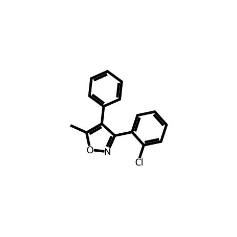 Cc1onc(-c2ccccc2Cl)c1-c1ccccc1